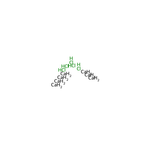 Cl.Cl.Cl.Cl.Cl.[CaH2].[CaH2].[CaH2].[CaH2].[CaH2].[CaH2].[CaH2]